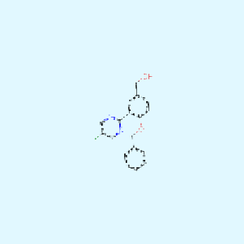 OCc1ccc(OCc2ccccc2)c(-c2ncc(F)cn2)c1